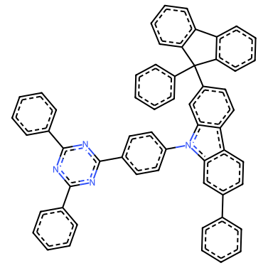 c1ccc(-c2ccc3c4ccc(C5(c6ccccc6)c6ccccc6-c6ccccc65)cc4n(-c4ccc(-c5nc(-c6ccccc6)nc(-c6ccccc6)n5)cc4)c3c2)cc1